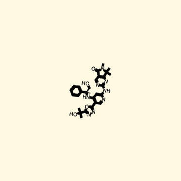 CN1C(=O)c2cnc(Nc3cc(N[C@H](CO)c4ccccc4)c(-c4nnc(C(C)(C)O)o4)cn3)nc2C1(C)C